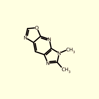 Cc1nc2cc3ncoc3nc2n1C